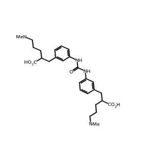 CNCCCC(Cc1cccc(NC(=O)Nc2cccc(CC(CCCNC)C(=O)O)c2)c1)C(=O)O